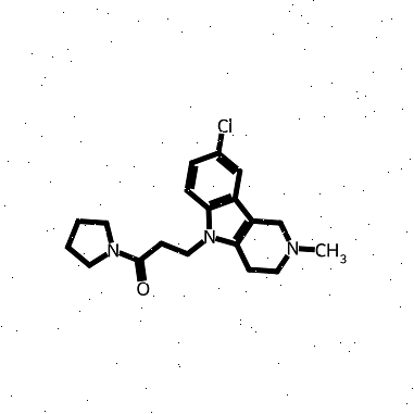 CN1CCc2c(c3cc(Cl)ccc3n2CCC(=O)N2CCCC2)C1